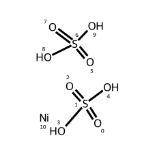 O=S(=O)(O)O.O=S(=O)(O)O.[Ni]